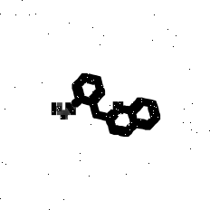 Nc1ccccc1Cc1ccc2ccccc2n1